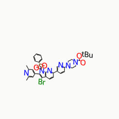 Cc1cc(-c2c(Br)c3ccc(-c4ccc(N5CCN(C(=O)OC(C)(C)C)CC5)nc4)nc3n2S(=O)(=O)c2ccccc2)cc(C)n1